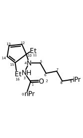 CCCC(=O)NN(CCCCC(C)C)C1(CC)C=CC=C1CC